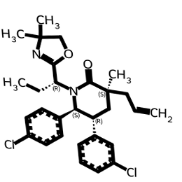 C=CC[C@@]1(C)C[C@H](c2cccc(Cl)c2)[C@@H](c2ccc(Cl)cc2)N([C@H](CC)C2=NC(C)(C)CO2)C1=O